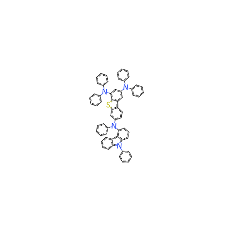 c1ccc(N(c2ccccc2)c2cc(N(c3ccccc3)c3ccccc3)c3sc4cc(N(c5ccccc5)c5cccc6c5c5ccccc5n6-c5ccccc5)ccc4c3c2)cc1